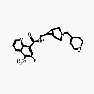 Nc1c(F)cc(C(=O)NCC2C3CN(CC4CCOCC4)CC23)c2ncccc12